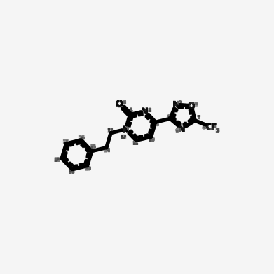 O=c1nc(-c2noc(C(F)(F)F)n2)ccn1CCc1ccccc1